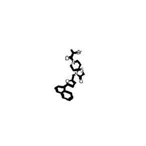 CC(Br)C(=O)N1CCC2(CC1)SCC(=O)N2Cc1ccc(-c2cccc3ccccc23)o1